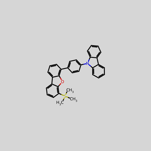 CS(C)(C)c1cccc2c1oc1c(-c3ccc(-n4c5ccccc5c5ccccc54)cc3)cccc12